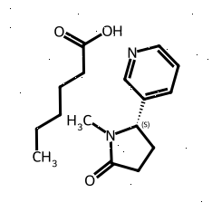 CCCCCC(=O)O.CN1C(=O)CC[C@H]1c1cccnc1